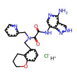 Nc1ncc(NC(=O)C(=O)N(Cc2ccccn2)Cc2cccc3c2CCCO3)c2n[nH]cc12.[Cl-].[H+]